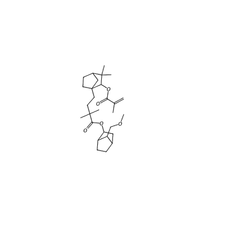 C=C(C)C(=O)OC1C2(CCC(C)(C)C(=O)OC3CC4CCC3C4COC)CCC(C2)C1(C)C